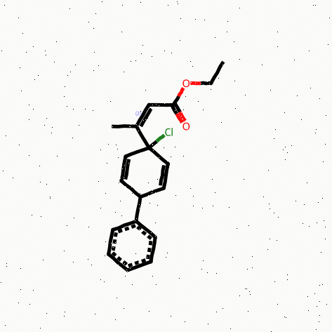 CCOC(=O)/C=C(/C)C1(Cl)C=CC(c2ccccc2)C=C1